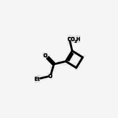 CCOC(=O)C1=C(C(=O)O)CC1